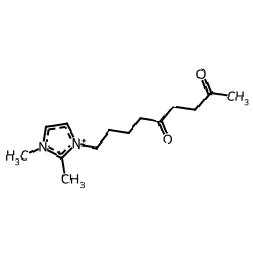 CC(=O)CCC(=O)CCCC[n+]1ccn(C)c1C